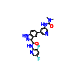 CN(C)C(=O)Nc1cncc(-c2ccc3[nH]nc(C(=O)Nc4ncc(F)cc4F)c3c2)c1